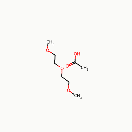 CC(=O)O.COCCOCCOC